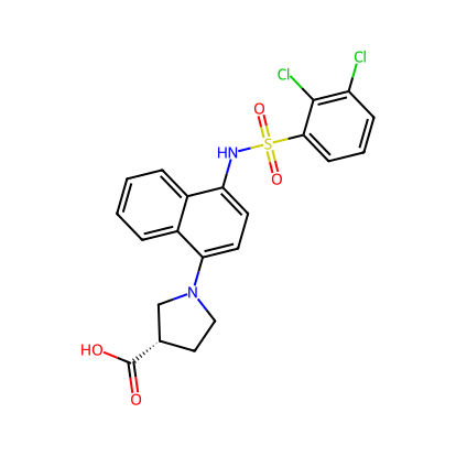 O=C(O)[C@H]1CCN(c2ccc(NS(=O)(=O)c3cccc(Cl)c3Cl)c3ccccc23)C1